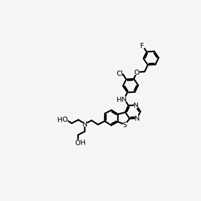 OCCN(CCO)CCc1ccc2c(c1)sc1ncnc(Nc3ccc(OCc4cccc(F)c4)c(Cl)c3)c12